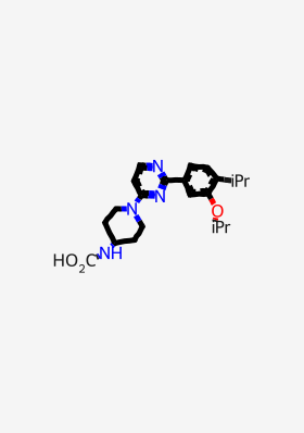 CC(C)Oc1cc(-c2nccc(N3CCC(NC(=O)O)CC3)n2)ccc1C(C)C